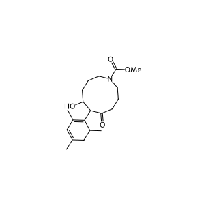 COC(=O)N1CCCC(=O)C(C2=C(C)C=C(C)CC2C)C(O)CCC1